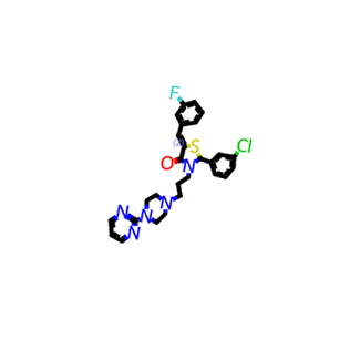 O=C1/C(=C/c2cccc(F)c2)SC(c2cccc(Cl)c2)N1CCCN1CCN(c2ncccn2)CC1